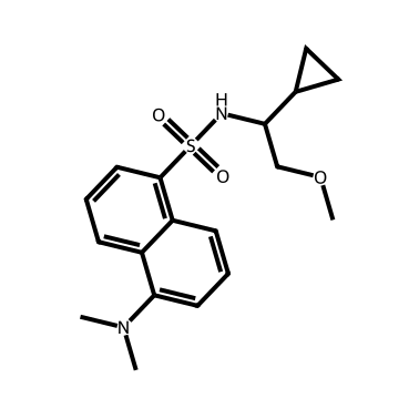 COCC(NS(=O)(=O)c1cccc2c(N(C)C)cccc12)C1CC1